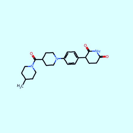 CC1CCN(C(=O)C2CCN(c3ccc(C4CCC(=O)NC4=O)cc3)CC2)CC1